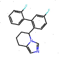 Fc1ccc(C2CCCc3cncn32)c(-c2ccccc2F)c1